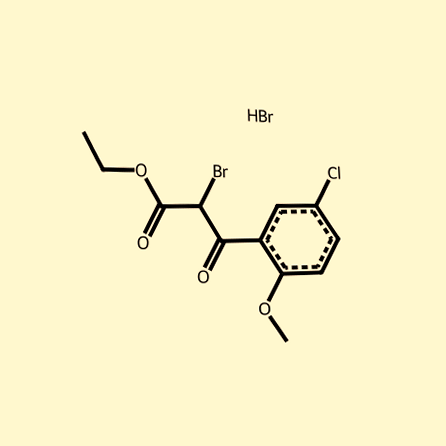 Br.CCOC(=O)C(Br)C(=O)c1cc(Cl)ccc1OC